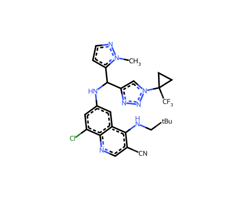 Cn1nccc1C(Nc1cc(Cl)c2ncc(C#N)c(NCC(C)(C)C)c2c1)c1cn(C2(C(F)(F)F)CC2)nn1